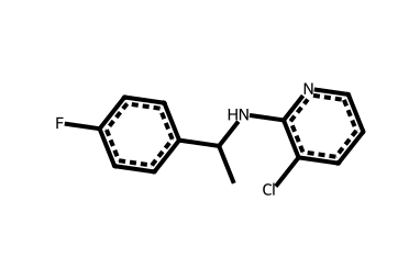 CC(Nc1ncccc1Cl)c1ccc(F)cc1